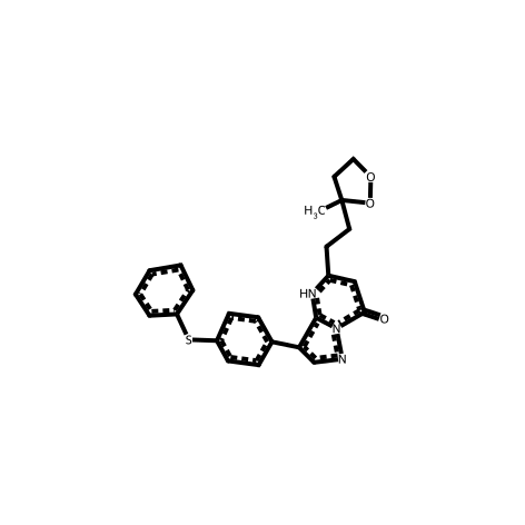 CC1(CCc2cc(=O)n3ncc(-c4ccc(Sc5ccccc5)cc4)c3[nH]2)CCOO1